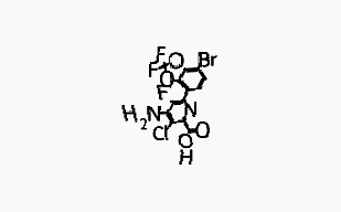 Nc1c(F)c(-c2ccc(Br)c3c2OC(F)(F)O3)nc(C(=O)O)c1Cl